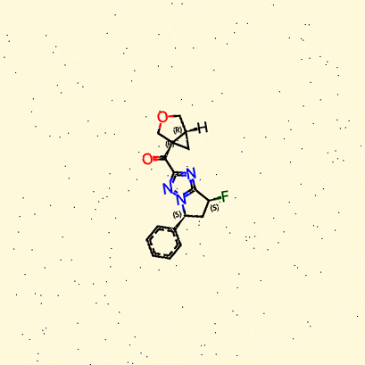 O=C(c1nc2n(n1)[C@H](c1ccccc1)C[C@@H]2F)[C@@]12COC[C@@H]1C2